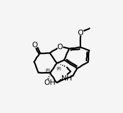 COc1ccc2c3c1OC1C(=O)CC[C@]4(O)C(C2)NCC[C@@]314